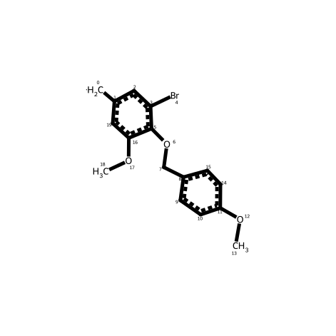 [CH2]c1cc(Br)c(OCc2ccc(OC)cc2)c(OC)c1